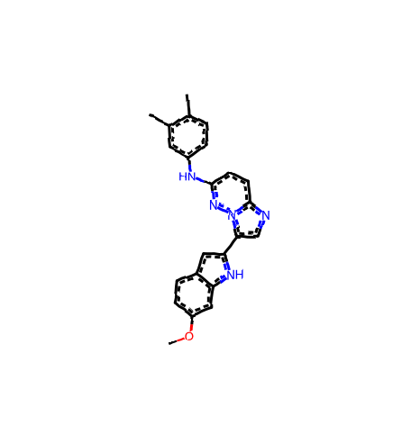 COc1ccc2cc(-c3cnc4ccc(Nc5ccc(C)c(C)c5)nn34)[nH]c2c1